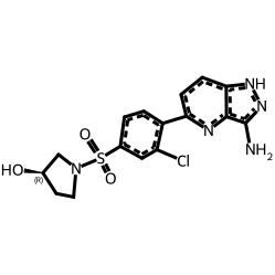 Nc1n[nH]c2ccc(-c3ccc(S(=O)(=O)N4CC[C@@H](O)C4)cc3Cl)nc12